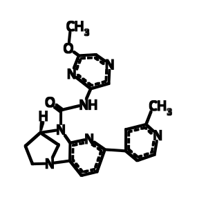 COc1cncc(NC(=O)N2c3nc(-c4ccnc(C)c4)ccc3N3CC[C@H]2C3)n1